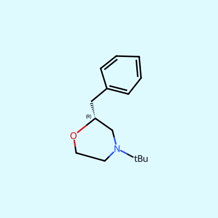 CC(C)(C)N1CCO[C@H](Cc2ccccc2)C1